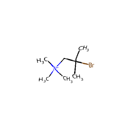 CC(C)(Br)C[N+](C)(C)C